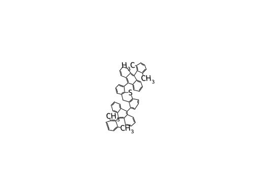 Cc1cccc(C)c1-c1c2c(c(-c3cccc4c3Sc3cccc(-c5c6ccccc6c(-c6c(C)cccc6C)c6ccccc56)c3C4)c3ccccc13)C=CCC2